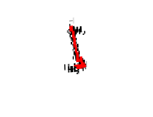 Nc1cc(-c2nn(Cc3ccc4c(c3)CCN(C(=O)CCOCCOCCOCCOCCOCCOCCNC(=O)C3(N)CCNCC3)C4)c3ncnc(N)c23)ccc1O